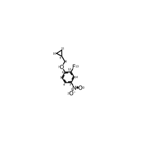 O=[N+]([O-])c1ccc(OCC2CC2)c(F)c1